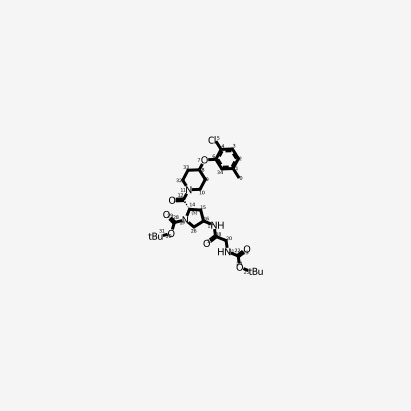 Cc1ccc(Cl)c(OC2CCN(C(=O)[C@@H]3CC(NC(=O)CNC(=O)OC(C)(C)C)CN3C(=O)OC(C)(C)C)CC2)c1